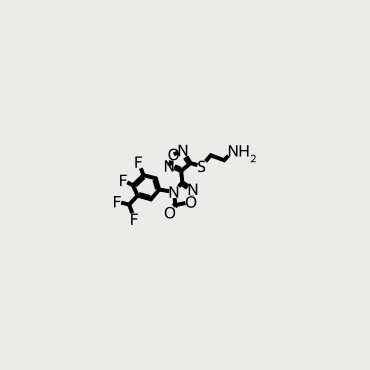 NCCSc1nonc1-c1noc(=O)n1-c1cc(F)c(F)c(C(F)F)c1